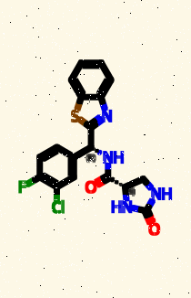 O=C1NC[C@@H](C(=O)N[C@H](c2ccc(F)c(Cl)c2)c2nc3ccccc3s2)N1